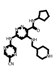 N#Cc1cnc(Nc2cc(NCC3CCNCC3)c(C(=O)NC3CCCC3)nn2)cn1